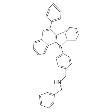 c1ccc(CNCc2ccc(-n3c4ccccc4c4c(-c5ccccc5)cc5ccccc5c43)cc2)cc1